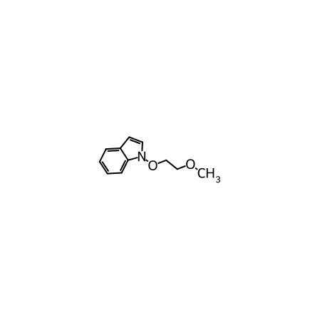 COCCOn1ccc2ccccc21